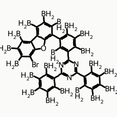 Bc1c(B)c(B)c(-c2nc(-c3c(B)c(B)c(B)c(B)c3B)nc(-c3c(B)c(B)c(B)c(-c4c(B)c(B)c(B)c5c4oc4c(Br)c(B)c(B)c(B)c45)c3B)n2)c(B)c1B